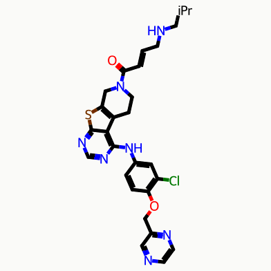 CC(C)CNC/C=C/C(=O)N1CCc2c(sc3ncnc(Nc4ccc(OCc5cnccn5)c(Cl)c4)c23)C1